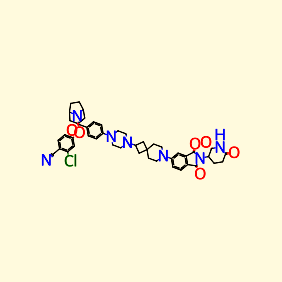 N#Cc1ccc(OC2CC3CCC(C2)N3C(=O)c2ccc(N3CCN(C4CC5(CCN(c6ccc7c(c6)C(=O)N(C6CCC(=O)NC6=O)C7=O)CC5)C4)CC3)cc2)cc1Cl